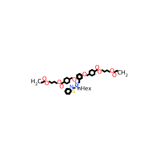 C=CC(=O)OCCCCOC(=O)C1CCC(COc2ccc(OCC3CCC(C(=O)OCCCCOC(=O)C=C)CC3)c(/C=N/N(CCCCCC)c3nc4ccccc4s3)c2)CC1